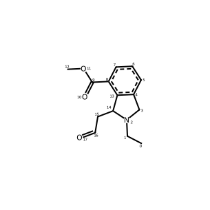 CCN1Cc2cccc(C(=O)OC)c2C1CC=O